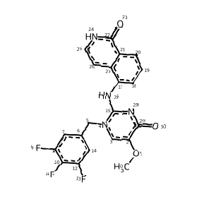 COc1cn(Cc2cc(F)c(F)c(F)c2)c(Nc2cccc3c(=O)[nH]ccc23)nc1=O